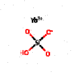 [O-][Si]([O-])([O-])O.[Yb+3]